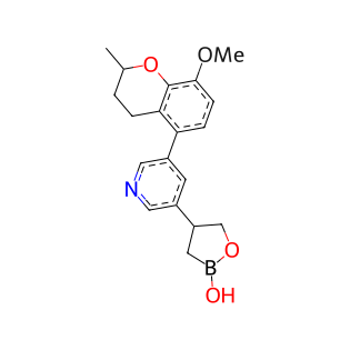 COc1ccc(-c2cncc(C3COB(O)C3)c2)c2c1OC(C)CC2